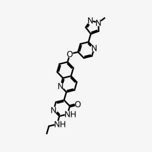 CCNc1ncc(-c2ccc3cc(Oc4ccnc(-c5cnn(C)c5)c4)ccc3n2)c(=O)[nH]1